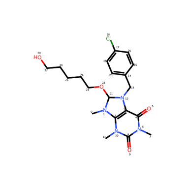 CN1c2c(c(=O)n(C)c(=O)n2C)N(Cc2ccc(Cl)cc2)C1OCCCCCO